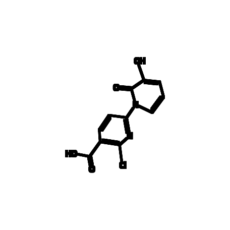 O=C(O)c1ccc(-n2cccc(O)c2=O)nc1Cl